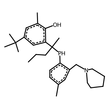 CCCC(C)(Pc1ccc(C)cc1CN1CCCCC1)c1cc(C(C)(C)C)cc(C)c1O